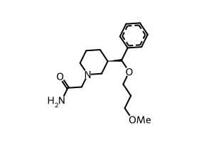 COCCCOC(c1ccccc1)[C@@H]1CCCN(CC(N)=O)C1